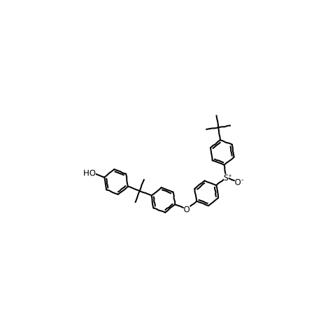 CC(C)(C)c1ccc([S+]([O-])c2ccc(Oc3ccc(C(C)(C)c4ccc(O)cc4)cc3)cc2)cc1